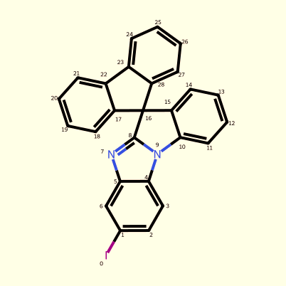 Ic1ccc2c(c1)nc1n2-c2ccccc2C12c1ccccc1-c1ccccc12